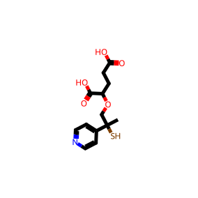 CC(S)(COC(CCC(=O)O)C(=O)O)c1ccncc1